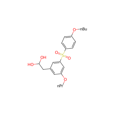 CCCCOc1ccc(S(=O)(=O)c2cc(CC(O)O)cc(OCCC)c2)cc1